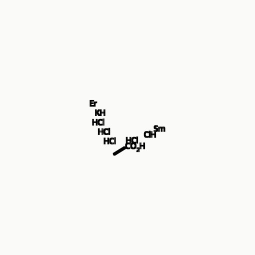 CC(=O)O.Cl.Cl.Cl.Cl.Cl.[Er].[KH].[Sm]